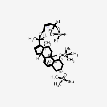 CCC(/C=C\COC(C)(C)C1=CC[C@H]2C3=CC=C4C[C@@H](O[Si](C)(C)C(C)(C)C)C[C@H](O[Si](C)(C)C(C)(C)C)[C@]4(C)[C@H]3CC[C@]12C)(CC)O[Si](CC)(CC)CC